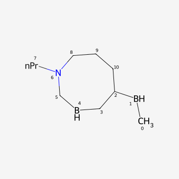 CBC1CBCN(CCC)CCC1